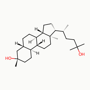 C[C@H](CCC(C)(C)O)[C@H]1CC[C@H]2[C@@H]3CC[C@H]4C[C@@](C)(O)CC[C@@H]4[C@H]3CC[C@]12C